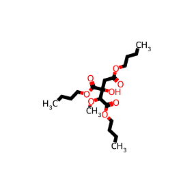 CCCCOC(=O)CC(O)(C(=O)OCCCC)C(OC)C(=O)OCCCC